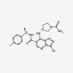 CCn1ncc2c(N[C@@H]3CCN(C(N)=O)C3)c(C(=O)N[C@H](C)c3ccc(C)cc3)cnc21